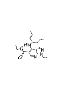 CCCC(CCC)Nc1c(C(=O)OCC)cnc2c1cnn2CC